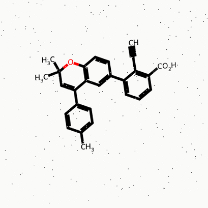 C#Cc1c(C(=O)O)cccc1-c1ccc2c(c1)C(c1ccc(C)cc1)=CC(C)(C)O2